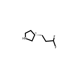 FC(F)CC[C@H]1CCNC1